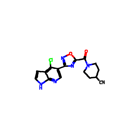 N#CC1CCN(C(=O)c2nc(-c3cnc4[nH]ccc4c3Cl)no2)CC1